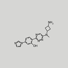 CN(c1cnc(-c2ccc(-n3ccnc3)cc2O)nn1)C1CC(N)C1